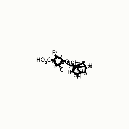 N#CC1(COc2cc(F)c(C(=O)O)cc2Cl)[C@H]2C[C@H]3C[C@H](C2)C[C@H]1C3